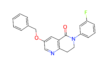 O=C1c2cc(OCc3ccccc3)cnc2CCN1c1cccc(F)c1